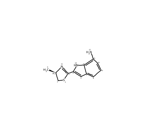 [CH2][C@@H]1CSC(c2cc3cccc(N)c3[nH]2)=N1